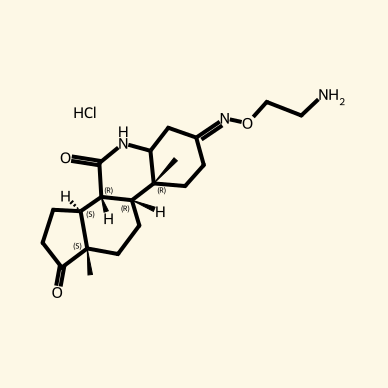 C[C@]12CCC(=NOCCN)CC1NC(=O)[C@@H]1[C@H]2CC[C@]2(C)C(=O)CC[C@@H]12.Cl